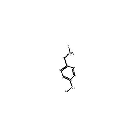 [CH2-][NH2+]Cc1ccc(OC)cc1